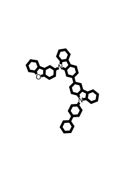 C1CCC(C2CCC(N3C4CCCCC4C4CC(C5CCC6C7CCCCC7N(C7CCC8OC9CCCCC9C8C7)C6C5)CCC43)CC2)CC1